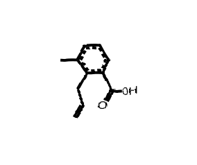 C=CCc1c(C)cccc1C(=O)O